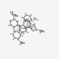 CCCCC1[C]([Zr+2][CH]2c3cc(C(C)(C)C)ccc3-c3ccc(C(C)(C)C)cc32)=C2C(C(C)(C)C)=C1C2(c1ccccc1)c1ccccc1.[Cl-].[Cl-]